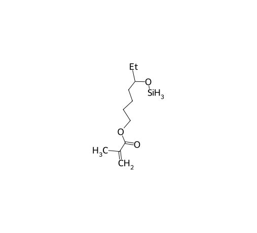 C=C(C)C(=O)OCCCCC(CC)O[SiH3]